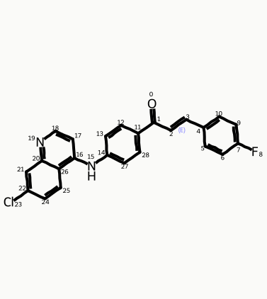 O=C(/C=C/c1ccc(F)cc1)c1ccc(Nc2ccnc3cc(Cl)ccc23)cc1